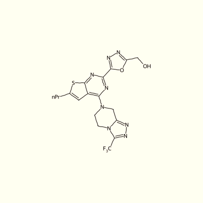 CCCc1cc2c(N3CCn4c(nnc4C(F)(F)F)C3)nc(-c3nnc(CO)o3)nc2s1